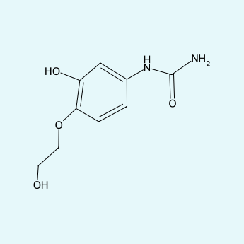 NC(=O)Nc1ccc(OCCO)c(O)c1